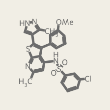 COc1cccc(-c2c(-c3c[nH]nc3C)sc3nc(C)cc(NS(=O)(=O)c4cccc(Cl)c4)c23)c1